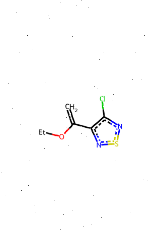 C=C(OCC)c1nsnc1Cl